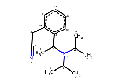 CC(C)N(C(C)C)C(C)c1ccccc1CC#N